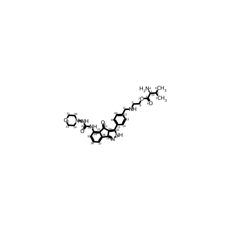 CC(C)[C@H](N)C(=O)OCCNCc1ccc(-c2[nH]nc3c2C(=O)c2c(NC(=O)NN4CCOCC4)cccc2-3)cc1